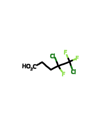 O=C(O)CCC(F)(Cl)C(F)(F)Cl